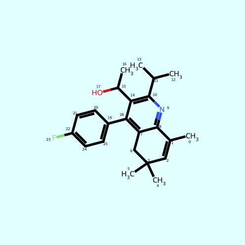 CC1=CC(C)(C)Cc2c1nc(C(C)C)c(C(C)O)c2-c1ccc(F)cc1